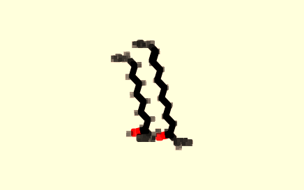 CCCCCCCCC=CCCCCCCCC(=O)OC.CCCCCCCCCCCCCCCCCC(=O)OC